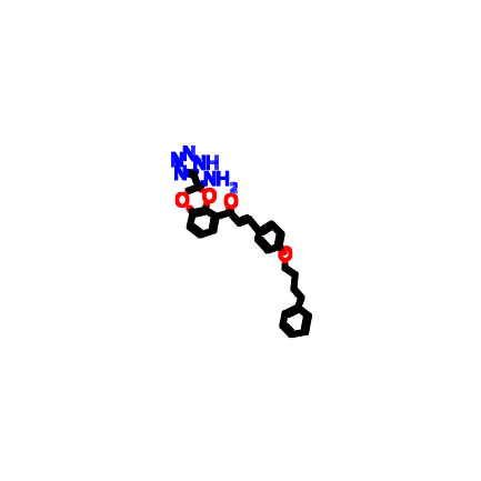 NC1(c2nnn[nH]2)COc2cccc(C(=O)C=Cc3ccc(OCCCCc4ccccc4)cc3)c2O1